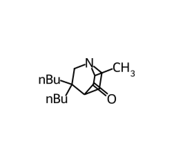 CCCCC1(CCCC)CN2CCC1C(=O)C2C